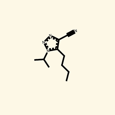 CCCCc1c(C#N)nnn1C(C)C